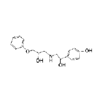 Oc1ccc(C(O)CNCC(O)COc2ccccc2)cc1